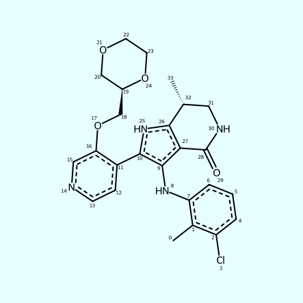 Cc1c(Cl)cccc1Nc1c(-c2ccncc2OC[C@H]2COCCO2)[nH]c2c1C(=O)NC[C@H]2C